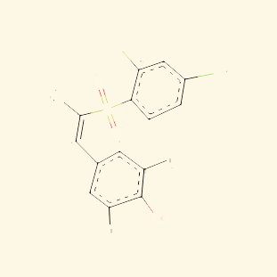 CC(C)c1cc(/C=C(/C#N)S(=O)(=O)c2ccc(F)cc2F)cc(C(C)C)c1O